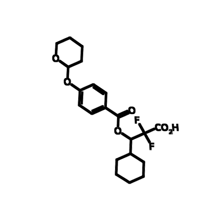 O=C(OC(C1CCCCC1)C(F)(F)C(=O)O)c1ccc(OC2CCCCO2)cc1